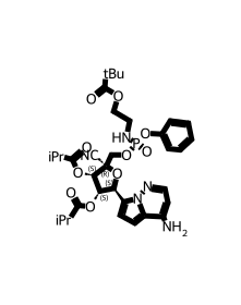 CC(C)C(=O)O[C@H]1[C@H](c2ccc3c(N)ccnn23)O[C@](C#N)(COP(=O)(NCCOC(=O)C(C)(C)C)Oc2ccccc2)[C@H]1OC(=O)C(C)C